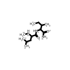 CCC(C)C(NC(=O)C(CC(C)C)NC)C(N)=O